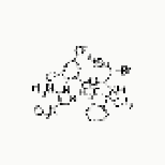 CC(C)(NC(=O)C(Br)C(C)(C)C)c1ccccc1.Nc1c([N+](=O)[O-])cnn1-c1c(Cl)cc(C(F)(F)F)cc1Cl